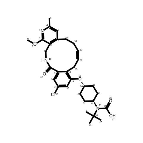 COc1nc(C)cc2c1CNC(=O)c1cc(Cl)cc(O[C@H]3CC[C@H](N(C(=O)O)C(C)(C)C)CC3)c1CC=CCC2